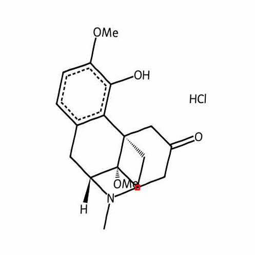 COc1ccc2c(c1O)[C@]13CCN(C)[C@H](C2)[C@]1(OC)CCC(=O)C3.Cl